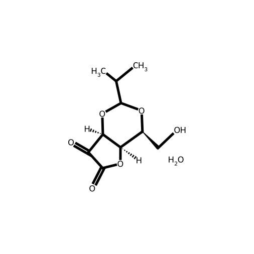 CC(C)C1O[C@@H](CO)[C@H]2OC(=O)C(=O)[C@H]2O1.O